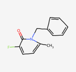 Cc1ccc(F)c(=O)n1Cc1ccccc1